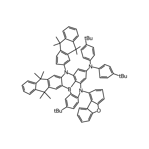 CC(C)(C)c1ccc(N(c2ccc(C(C)(C)C)cc2)c2cc3c4c(c2)N(c2cccc5oc6ccccc6c25)c2ccc(C(C)(C)C)cc2B4c2cc4c(cc2N3c2ccc3c(c2)C(C)(C)c2ccccc2C3(C)C)C(C)(C)c2ccccc2C4(C)C)cc1